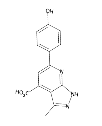 Cc1n[nH]c2nc(-c3ccc(O)cc3)cc(C(=O)O)c12